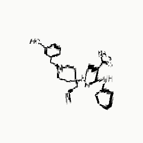 N#CCC1(n2cc(C(N)=O)c(Nc3ccccc3)n2)CCN(Cc2cccc(O)c2)CC1